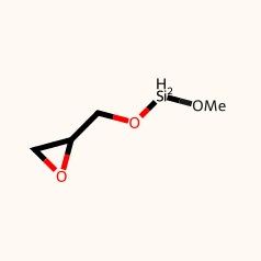 CO[SiH2]OCC1CO1